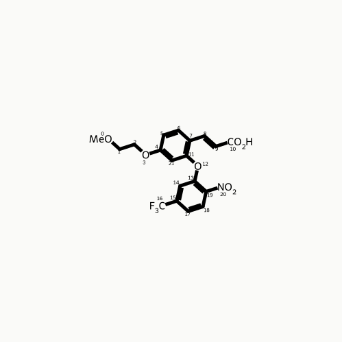 COCCOc1ccc(C=CC(=O)O)c(Oc2cc(C(F)(F)F)ccc2[N+](=O)[O-])c1